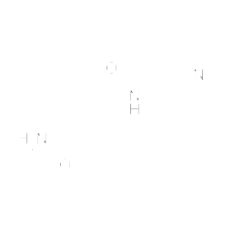 CN(C)CCCNC(=O)c1ccc(C(N)=O)cc1